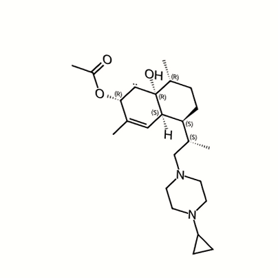 CC(=O)O[C@@H]1[C][C@@]2(O)[C@H](C)CC[C@@H]([C@H](C)CN3CCN(C4CC4)CC3)[C@H]2C=C1C